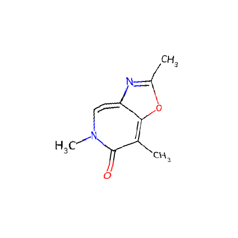 Cc1nc2cn(C)c(=O)c(C)c2o1